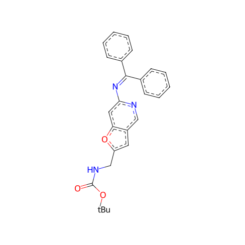 CC(C)(C)OC(=O)NCc1cc2cnc(N=C(c3ccccc3)c3ccccc3)cc2o1